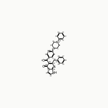 O=C(c1ccc(N2CCN(c3ccccc3)CC2)nc1)c1c(Cc2ccccc2)nc2[nH]ccn2c1=O